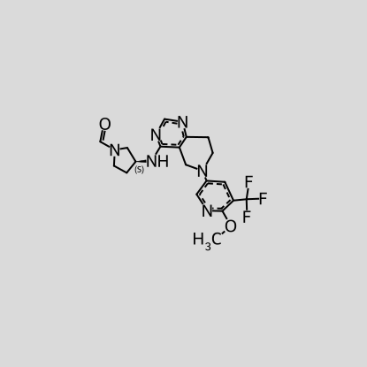 COc1ncc(N2CCc3ncnc(N[C@H]4CCN(C=O)C4)c3C2)cc1C(F)(F)F